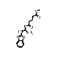 COC(=O)CCCC(=O)/N=C(\N)Nc1nc2ccccc2o1